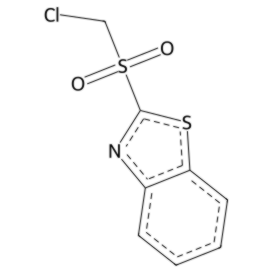 O=S(=O)(CCl)c1nc2ccccc2s1